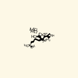 Cl.Cl.NC(CCCCB(O)O)(C(=O)O)C(O)C1CNC1